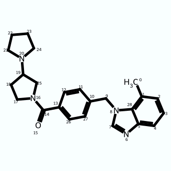 Cc1cccc2ncn(Cc3ccc(C(=O)N4CCC(N5CCCC5)C4)cc3)c12